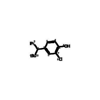 CC(C)C(c1ccc(O)c(Cl)c1)C(C)(C)C